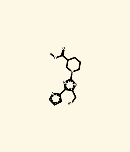 CC(C)Cc1sc(N2CCCC(C(=O)OI)C2)nc1-c1cccs1